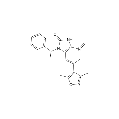 C=Nc1[nH]c(=O)n(C(C)c2ccccc2)c1/C=C(\C)c1c(C)noc1C